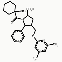 CCCCC1(C(=O)N2C(C(=O)O)CC(COc3cc(C(F)(F)F)cc(C)n3)C2c2ccccc2)CCCCC1